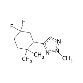 Cn1ncc(C2CC(F)(F)CCC2(C)C)n1